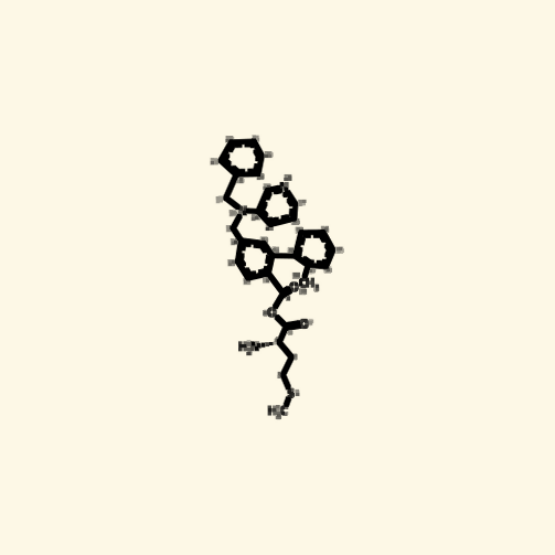 CSCC[C@H](N)C(=O)OC(=O)c1ccc(CN(Cc2ccccc2)c2cccnc2)cc1-c1ccccc1C